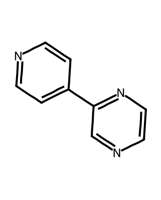 c1cc(-c2cnccn2)ccn1